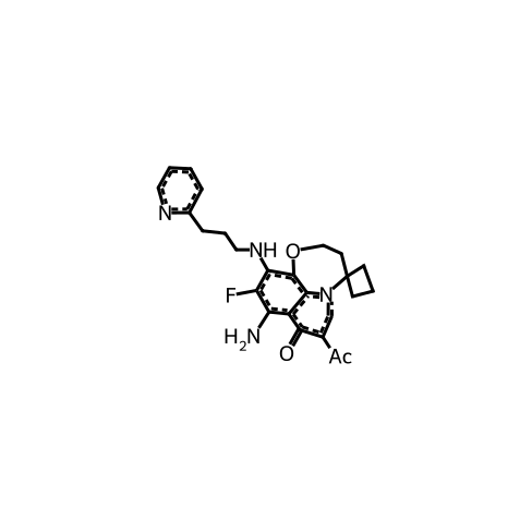 CC(=O)c1cn2c3c(c(NCCCc4ccccn4)c(F)c(N)c3c1=O)OCCC21CCC1